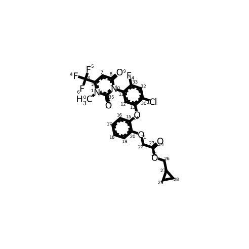 Cn1c(C(F)(F)F)cc(=O)n(-c2cc(Oc3ccccc3OCC(=O)OCC3CC3)c(Cl)cc2F)c1=O